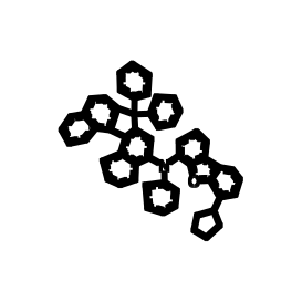 c1ccc(N(c2cc3c(c4ccccc24)-c2c(ccc4ccccc24)C3(c2ccccc2)c2ccccc2)c2cccc3c2oc2c(C4CCCC4)cccc23)cc1